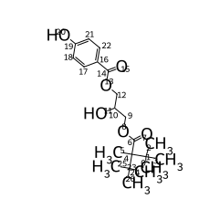 CC(C)(C)C(C)(C(=O)OCC(O)COC(=O)c1ccc(O)cc1)C(C)(C)C